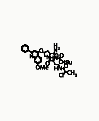 COc1ccc2c(O[C@@H]3C[C@@H](C(N)=O)N(C(=O)[C@H](CCNC(=O)C(C)Cl)NC(=O)OC(C)(C)C)C3)cc(-c3ccccc3)nc2c1